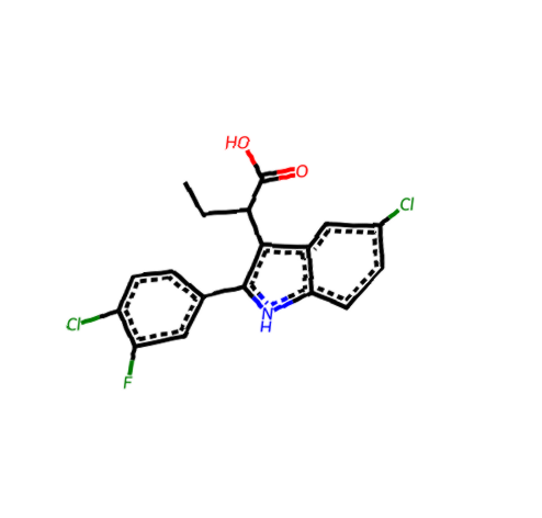 CCC(C(=O)O)c1c(-c2ccc(Cl)c(F)c2)[nH]c2ccc(Cl)cc12